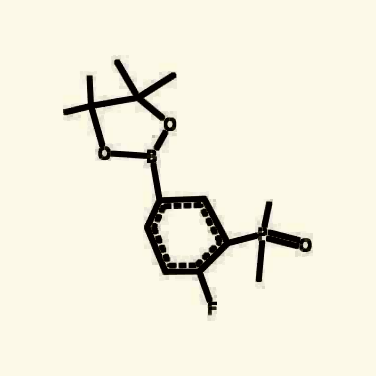 CC1(C)OB(c2ccc(F)c(P(C)(C)=O)c2)OC1(C)C